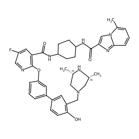 Cc1cccc2nc(C(=O)NC3CCC(NC(=O)c4cc(F)cnc4Oc4cccc(-c5ccc(O)c(CN6C[C@@H](C)N[C@@H](C)C6)c5)c4)CC3)cn12